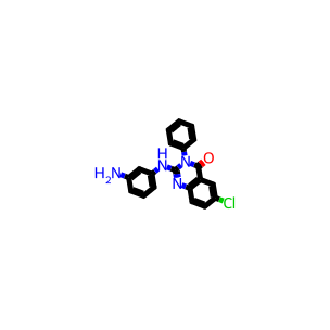 Nc1cccc(Nc2nc3ccc(Cl)cc3c(=O)n2-c2ccccc2)c1